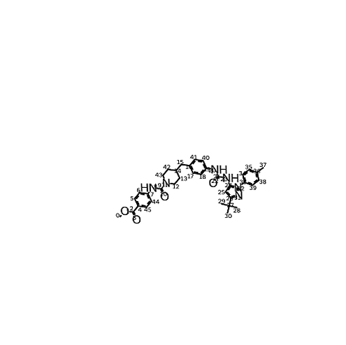 COC(=O)c1ccc(NC(=O)N2CCC(Cc3ccc(NC(=O)Nc4cc(C(C)(C)C)nn4-c4ccc(C)cc4)cc3)CC2)cc1